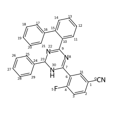 N#Cc1ccc(F)c(C2=NC(c3ccccc3-c3ccccc3)=NC(c3ccccc3)N2)c1